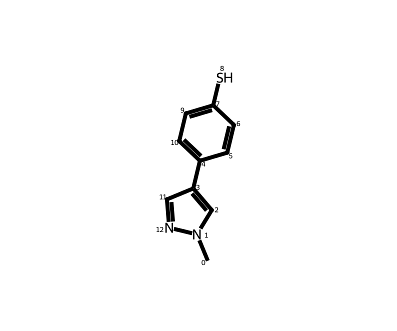 Cn1cc(-c2ccc(S)cc2)cn1